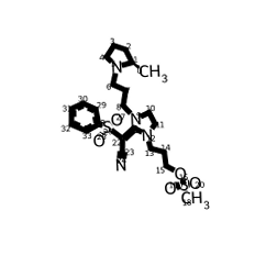 C[C@@H]1CCCN1CCCN1CCN(CCCOS(C)(=O)=O)C1=C(C#N)S(=O)(=O)c1ccccc1